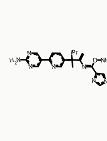 C=C(/N=C(\ON)c1c[nH]cn1)C(C)(c1ccc(-c2cnc(N)nc2)nc1)C(C)C